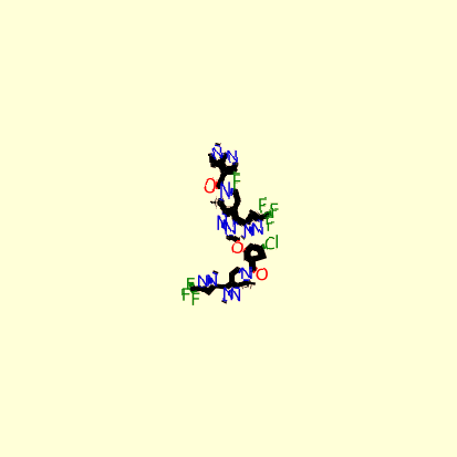 C[C@H]1c2nn(C)c(-c3cc(C(F)(F)F)nn3C)c2CCN1C(=O)c1cc(Cl)cc(OCCn2nc3c(c2-c2cc(C(F)(F)F)nn2C)CCN(C(=O)c2c(F)cnc4c2ccn4C)[C@H]3C)c1